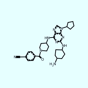 N#Cc1ccc(C(=O)N2CCC(Nc3nc(NC4CCC(N)CC4)nc4c3ncn4C3CCCC3)CC2)cc1